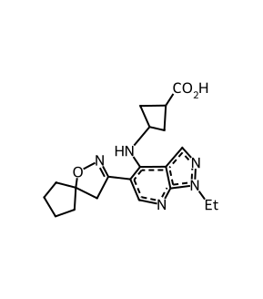 CCn1ncc2c(NC3CC(C(=O)O)C3)c(C3=NOC4(CCCC4)C3)cnc21